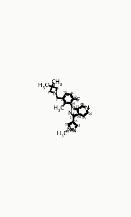 Cc1c(CN2CC(C)(C)C2)ccc(F)c1-n1nc(-c2cnn(C)c2)c2ccncc21